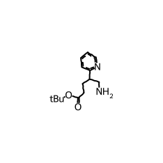 CC(C)(C)OC(=O)CCC(CN)c1ccccn1